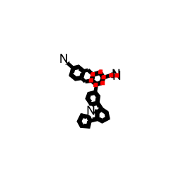 N#Cc1ccc2c(c1)C1c3cc(C#N)ccc3C2c2c(-c3ccc4c(c3)c3cccc5c6ccccc6n4c53)cc(C#N)cc21